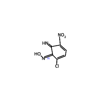 N=C1C([N+](=O)[O-])=CC=C(Cl)/C1=N/O